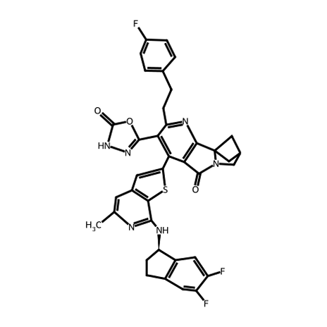 Cc1cc2cc(-c3c4c(nc(CCc5ccc(F)cc5)c3-c3n[nH]c(=O)o3)C35CC(CN3C4=O)C5)sc2c(N[C@@H]2CCc3cc(F)c(F)cc32)n1